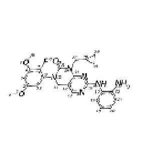 COc1cc(OC)c(F)c(N2Cc3cnc(Nc4ccccc4N)nc3N(CC3CC3)C2=O)c1